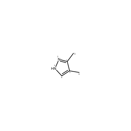 [CH2]c1n[nH]cc1C